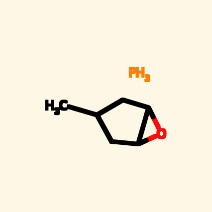 CC1CC2OC2C1.P